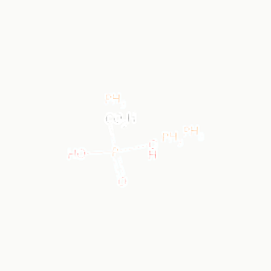 O=C(O)P(=O)(O)O.P.P.P